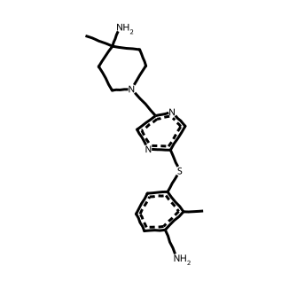 Cc1c(N)cccc1Sc1cnc(N2CCC(C)(N)CC2)cn1